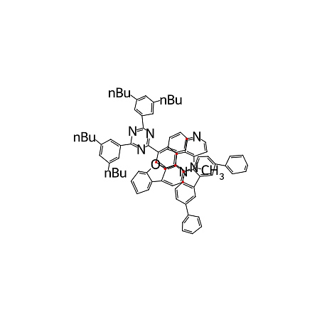 CCCCc1cc(CCCC)cc(-c2nc(-c3cc(CCCC)cc(CCCC)c3)nc(-c3ccc(-n4c5ccc(-c6ccccc6)cc5c5cc(-c6ccccc6)ccc54)c(-c4cnccc4N(C)c4ccc5c(oc6ccccc65)c4-c4ccccc4)c3)n2)c1